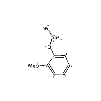 CCC[SiH2]Oc1ccccc1OC